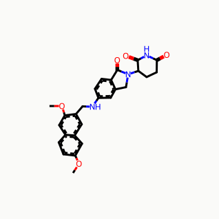 COc1ccc2cc(OC)c(CNc3ccc4c(c3)CN(C3CCC(=O)NC3=O)C4=O)cc2c1